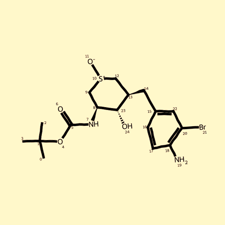 CC(C)(C)OC(=O)N[C@H]1C[S+]([O-])C[C@@H](Cc2ccc(N)c(Br)c2)[C@@H]1O